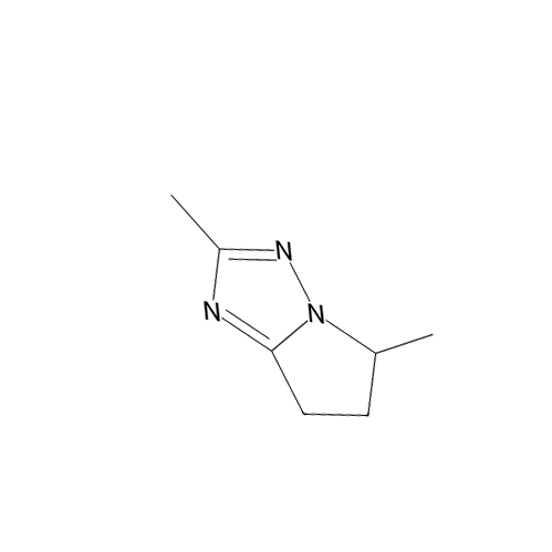 Cc1nc2n(n1)C(C)CC2